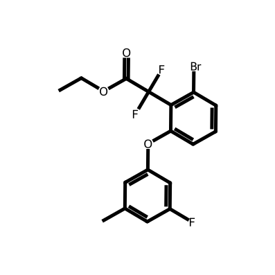 CCOC(=O)C(F)(F)c1c(Br)cccc1Oc1cc(C)cc(F)c1